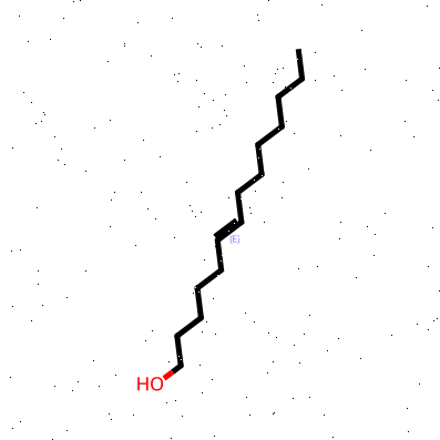 CCCCCCC/C=C/CCCCCO